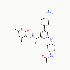 CC(=O)N[C@H]1CC[C@@H](N(C)c2cc(-c3ccc(CN(C)C)cc3)cc(C(=O)NCC3C(=O)N(C)C(C)CC3C)c2C)CC1